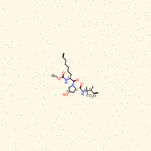 C=CCCCCC[C@H](NC(=O)OC(C)(C)C)C(=O)N1C[C@H](O)C[C@H]1C(=O)N[C@@](C)(C(=O)OCC)[C@@H](C)C=C